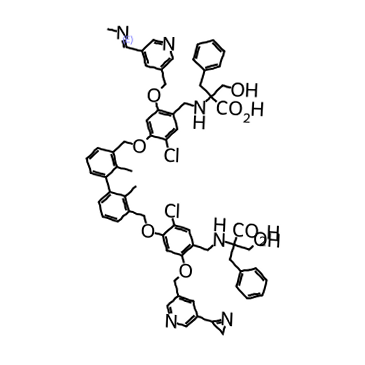 C/N=C/c1cncc(COc2cc(OCc3cccc(-c4cccc(COc5cc(OCc6cncc(C7=NC7)c6)c(CNC(CO)(Cc6ccccc6)C(=O)O)cc5Cl)c4C)c3C)c(Cl)cc2CNC(CO)(Cc2ccccc2)C(=O)O)c1